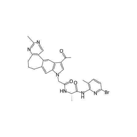 CC(=O)c1cn(CC(=O)N[C@@H](C)C(=O)Nc2nc(Br)ccc2C)c2cc3c(cc12)-c1cnc(C)nc1CCC3